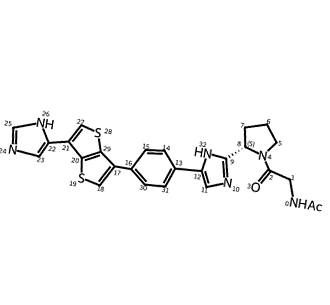 CC(=O)NCC(=O)N1CCC[C@H]1c1ncc(-c2ccc(-c3csc4c(-c5cnc[nH]5)csc34)cc2)[nH]1